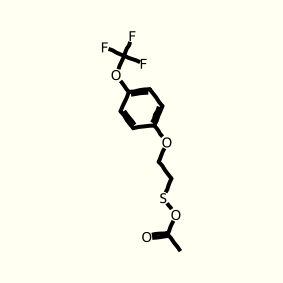 CC(=O)OSCCOc1ccc(OC(F)(F)F)cc1